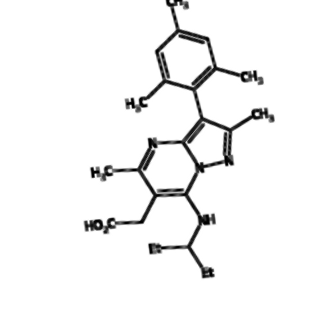 CCC(CC)Nc1c(CC(=O)O)c(C)nc2c(-c3c(C)cc(C)cc3C)c(C)nn12